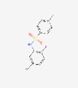 Cc1ccc(S(=O)(=O)Nc2cc(Cl)ccc2I)cc1